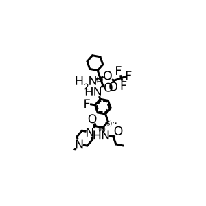 CCC(=O)N[C@@H](C(=O)N1CCN(C)CC1)[C@@H](C)c1ccc(NC(=O)[C@@](N)(OC(=O)C(F)(F)F)C2CCCCC2)c(F)c1